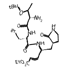 CCOC(=O)/C=C/[C@H](C[C@@H]1CCNC1=O)NC(=O)[C@H](CC(C)C)NC(=O)[C@@H](N)C(C)OC(C)(C)C